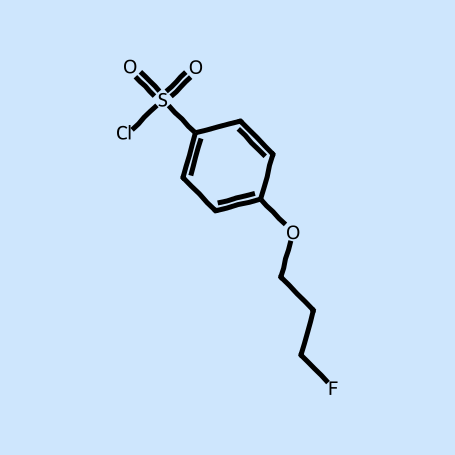 O=S(=O)(Cl)c1ccc(OCCCF)cc1